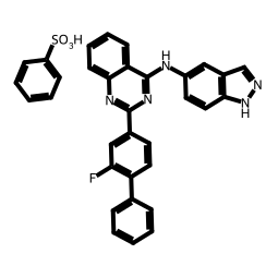 Fc1cc(-c2nc(Nc3ccc4[nH]ncc4c3)c3ccccc3n2)ccc1-c1ccccc1.O=S(=O)(O)c1ccccc1